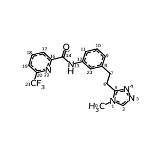 Cn1cnnc1CCc1cccc(NC(=O)c2cccc(C(F)(F)F)n2)c1